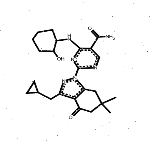 CC1(C)CC(=O)c2c(CC3CC3)nn(-c3ncc(C(N)=O)c(NC4CCCCC4O)n3)c2C1